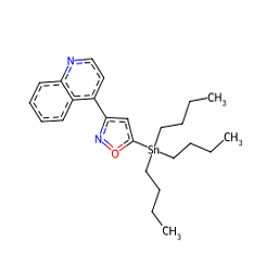 CCC[CH2][Sn]([CH2]CCC)([CH2]CCC)[c]1cc(-c2ccnc3ccccc23)no1